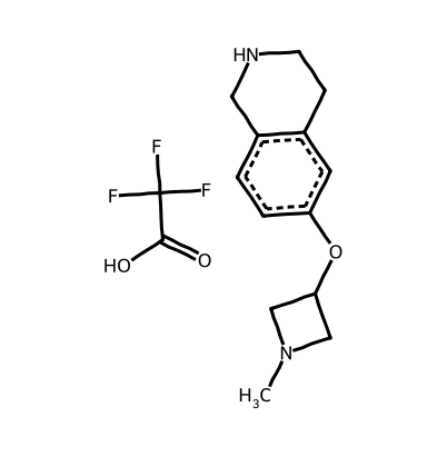 CN1CC(Oc2ccc3c(c2)CCNC3)C1.O=C(O)C(F)(F)F